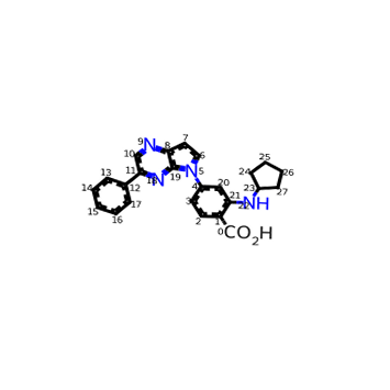 O=C(O)c1ccc(-n2ccc3ncc(-c4ccccc4)nc32)cc1NC1CCCC1